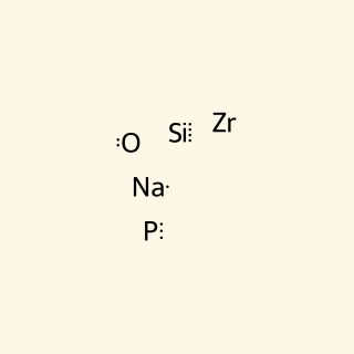 [Na].[O].[P].[Si].[Zr]